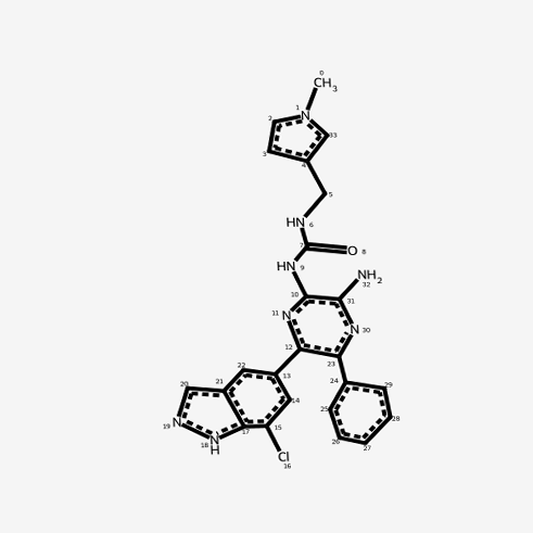 Cn1ccc(CNC(=O)Nc2nc(-c3cc(Cl)c4[nH]ncc4c3)c(-c3ccccc3)nc2N)c1